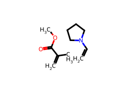 C=C(C)C(=O)OC.C=CN1CCCC1